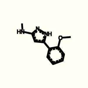 CNc1cc(-c2ccccc2OC)[nH]n1